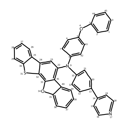 c1ccc(Oc2ccc(N(c3ccc(-c4ccncc4)cc3)c3cc4c5ccccc5sc4c4oc5ccccc5c34)cc2)cc1